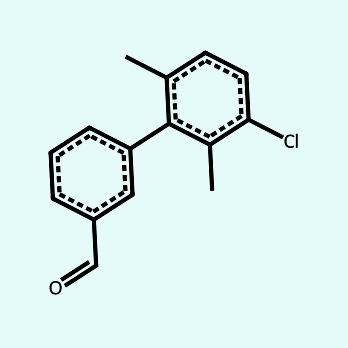 Cc1ccc(Cl)c(C)c1-c1cccc(C=O)c1